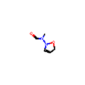 CN([C]=O)N1C=CCO1